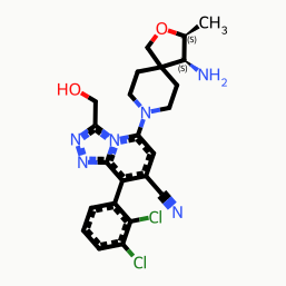 C[C@@H]1OCC2(CCN(c3cc(C#N)c(-c4cccc(Cl)c4Cl)c4nnc(CO)n34)CC2)[C@@H]1N